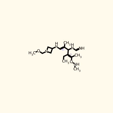 CC/C(=C(/C)ONC)C(NC=N)/C(C)=C/NC1CN(COC)C1